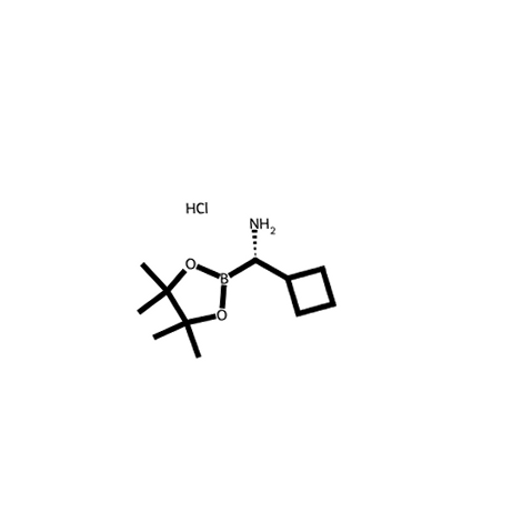 CC1(C)OB([C@H](N)C2CCC2)OC1(C)C.Cl